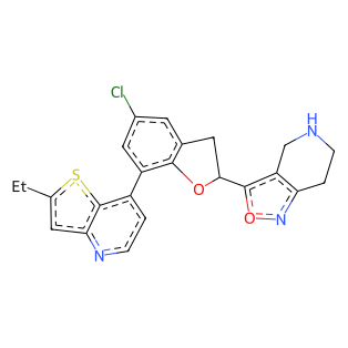 CCc1cc2nccc(-c3cc(Cl)cc4c3OC(c3onc5c3CNCC5)C4)c2s1